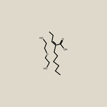 CCC=C(CCCCCC)C(=O)O.OCCOCCO